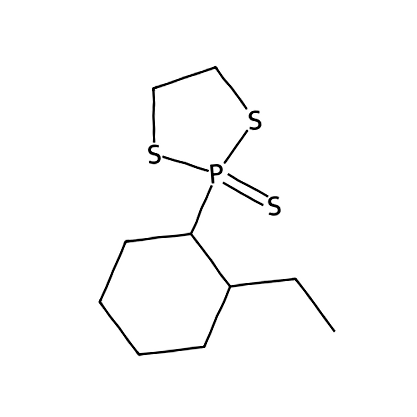 CCC1CCCCC1P1(=S)SCCS1